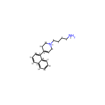 NCCCCN1CC=C(c2cccc3ccccc23)CC1